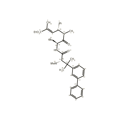 CCOC(=O)/C(C)=C/[C@H](C(C)C)N(C)C(=O)[C@@H](NC(=O)[C@@H](NC)C(C)(C)c1cccc(-c2ccccc2)c1)C(C)(C)C